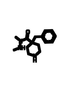 CNN(C)C(=O)C1(Cc2ccccc2)CCNCC1